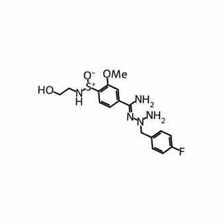 COc1cc(/C(N)=N/N(N)Cc2ccc(F)cc2)ccc1[S+]([O-])NCCO